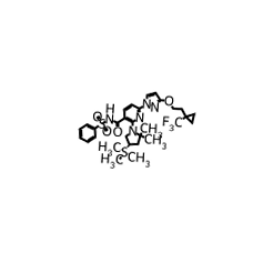 CC1(C)C[C@@H](S(C)(C)C)CN1c1nc(-n2ccc(OCCC3(C(F)(F)F)CC3)n2)ccc1C(=O)NS(=O)(=O)c1ccccc1